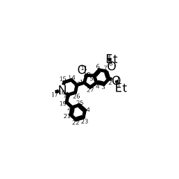 CCOc1cc2c(cc1OCC)C(=O)C(C1CCN(C)C(Cc3ccccc3)C1)C2